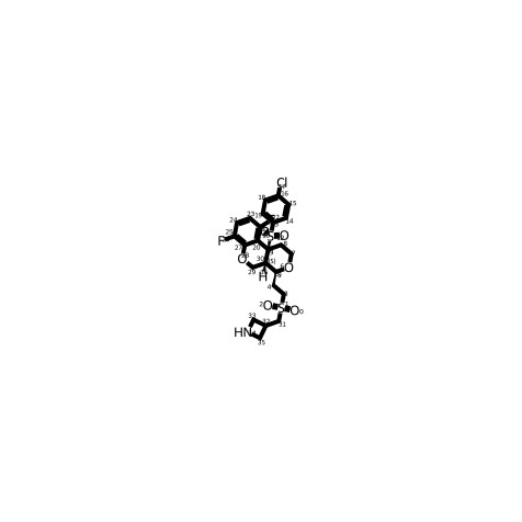 O=S(=O)(CC[C@@H]1OCC[C@@]2(S(=O)(=O)c3ccc(Cl)cc3)c3c(F)ccc(F)c3OC[C@@H]12)CC1CNC1